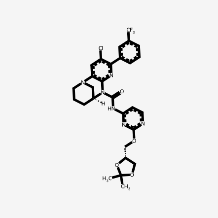 CC1(C)OC[C@@H](COc2nccc(NC(=O)N3c4nc(-c5cccc(C(F)(F)F)c5)c(Cl)cc4N4CCC[C@H]3C4)n2)O1